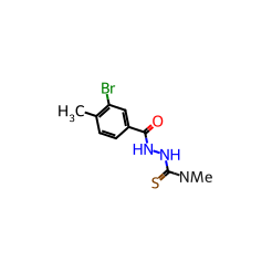 CNC(=S)NNC(=O)c1ccc(C)c(Br)c1